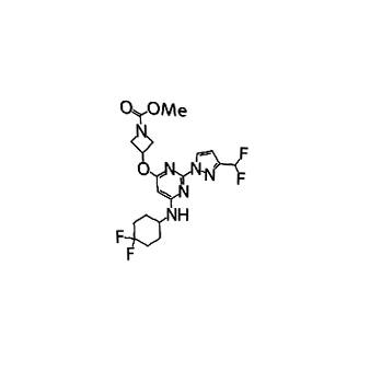 COC(=O)N1CC(Oc2cc(NC3CCC(F)(F)CC3)nc(-n3ccc(C(F)F)n3)n2)C1